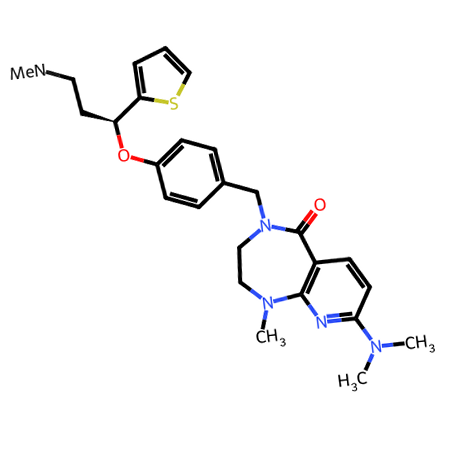 CNCC[C@H](Oc1ccc(CN2CCN(C)c3nc(N(C)C)ccc3C2=O)cc1)c1cccs1